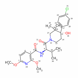 COc1ccc(C(=O)N[C@@H](C(=O)N2CC[C@](O)(c3ccc(Cl)cc3)C(C)(C)C2)C(C)C)c(OC)n1